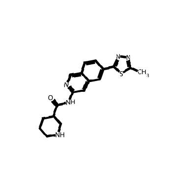 Cc1nnc(-c2ccc3cnc(NC(=O)C4CCCNC4)cc3c2)s1